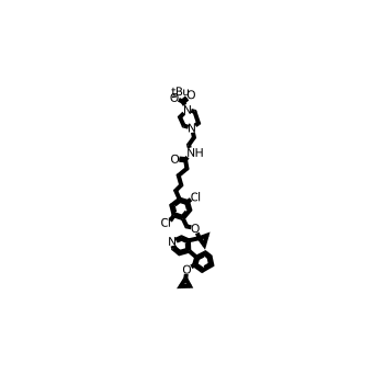 CC(C)(C)OC(=O)N1CCN(CCNC(=O)CCCCc2cc(Cl)c(COC3(c4cnccc4-c4ccccc4OC4CC4)CC3)cc2Cl)CC1